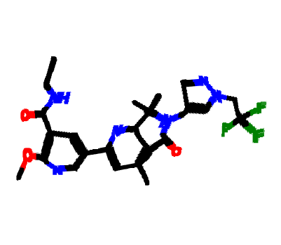 CCNC(=O)c1cc(-c2cc(C)c3c(n2)C(C)(C)N(c2cnn(CC(F)(F)F)c2)C3=O)cnc1OC